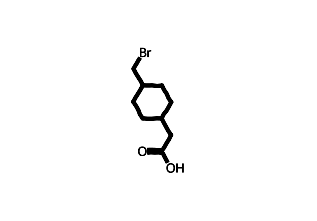 O=C(O)CC1CCC(CBr)CC1